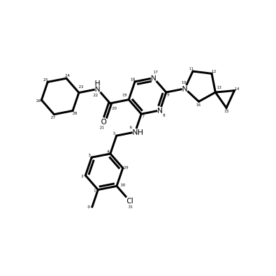 Cc1ccc(CNc2nc(N3CCC4(CC4)C3)ncc2C(=O)NC2CCCCC2)cc1Cl